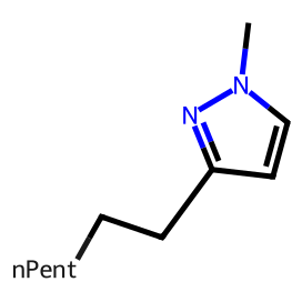 CCCCCCCc1ccn(C)n1